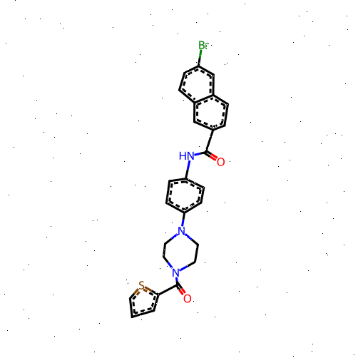 O=C(Nc1ccc(N2CCN(C(=O)c3cccs3)CC2)cc1)c1ccc2cc(Br)ccc2c1